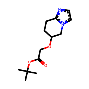 CC(C)(C)OC(=O)COC1CCc2nccn2C1